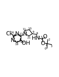 CC(C)(C)OC(=O)NCC1CCN(c2nc(Cl)ncc2O)C1